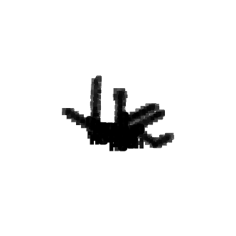 CCCCCCCCCCCCCCCC(=O)O[C@H](CCCCCCCCCCC)CC(=O)NC1C(O)[C@H](O)C(CO[C@@H]2OC(CO)[C@@H](OP(=O)(O)O)C(OC(=O)C[C@@H](CCCCCCCCCCC)OC(=O)CCCCCCCCCCCCC)C2NC(=O)C[C@@H](CCCCCCCCCCC)OC(=O)CCCCCCCCCCC)O[C@@H]1O